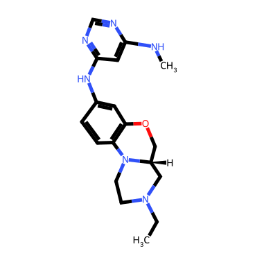 CCN1CCN2c3ccc(Nc4cc(NC)ncn4)cc3OC[C@@H]2C1